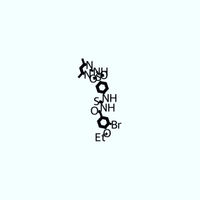 CCOc1ccc(C(=O)NC(=S)Nc2ccc(S(=O)(=O)Nc3nc(C)cc(C)n3)cc2)cc1Br